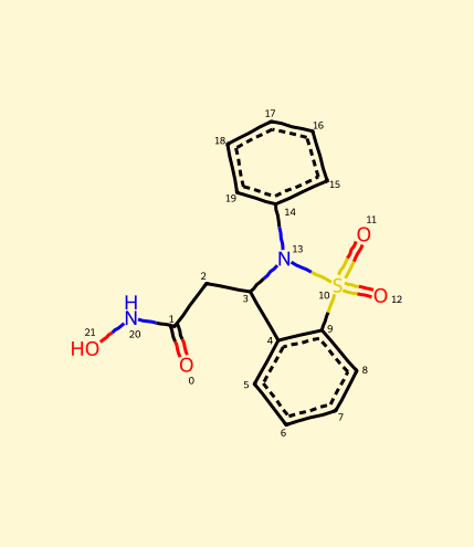 O=C(CC1c2ccccc2S(=O)(=O)N1c1ccccc1)NO